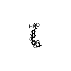 CC(=O)NC(C)c1ccc2nc(Oc3ccc4c(c3)OCC(C)(C)CO4)ccc2c1